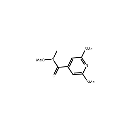 CON(C)C(=O)c1cc(SC)nc(SC)c1